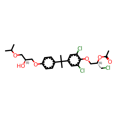 CC(=O)O[C@H](CCl)COc1c(Cl)cc(C(C)(C)c2ccc(OC[C@@H](O)COC(C)C)cc2)cc1Cl